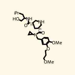 COCCCOc1cc(CN(C(=O)[C@H]2CNC[C@@H](C(=O)NC(CO)CC(C)C)C2)C2CC2)ccc1OC